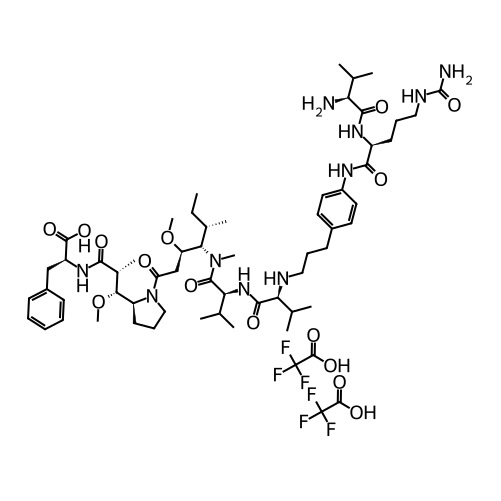 CC[C@H](C)[C@@H]([C@@H](CC(=O)N1CCC[C@H]1[C@H](OC)[C@@H](C)C(=O)N[C@@H](Cc1ccccc1)C(=O)O)OC)N(C)C(=O)[C@@H](NC(=O)[C@@H](NCCCc1ccc(NC(=O)[C@H](CCCNC(N)=O)NC(=O)[C@@H](N)C(C)C)cc1)C(C)C)C(C)C.O=C(O)C(F)(F)F.O=C(O)C(F)(F)F